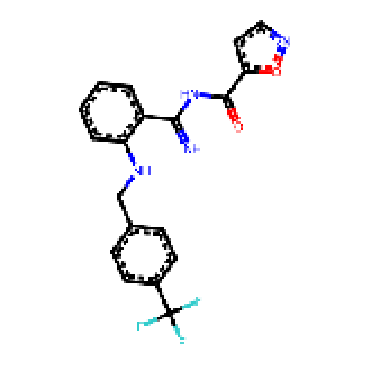 N=C(NC(=O)c1ccno1)c1ccccc1NCc1ccc(C(F)(F)F)cc1